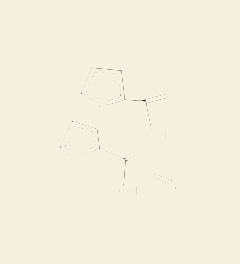 O=C(O)c1ccco1.O=C(O)c1ccco1.[O]=[V]